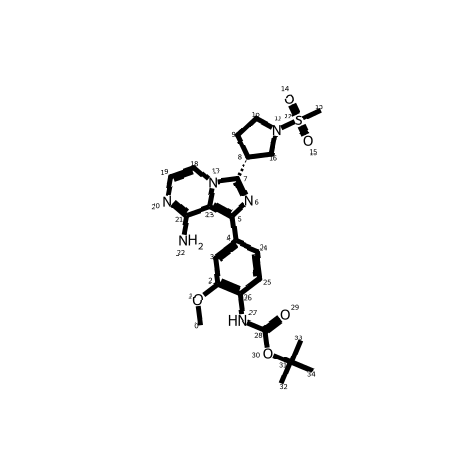 COc1cc(-c2nc([C@@H]3CCN(S(C)(=O)=O)C3)n3ccnc(N)c23)ccc1NC(=O)OC(C)(C)C